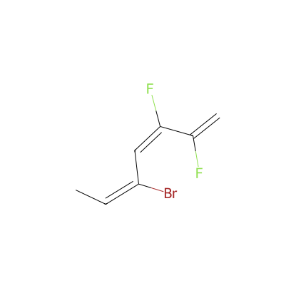 C=C(F)/C(F)=C\C(Br)=C/C